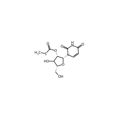 CSC(=O)O[C@H]1C(O)[C@@H](CO)O[C@H]1n1ccc(=O)[nH]c1=O